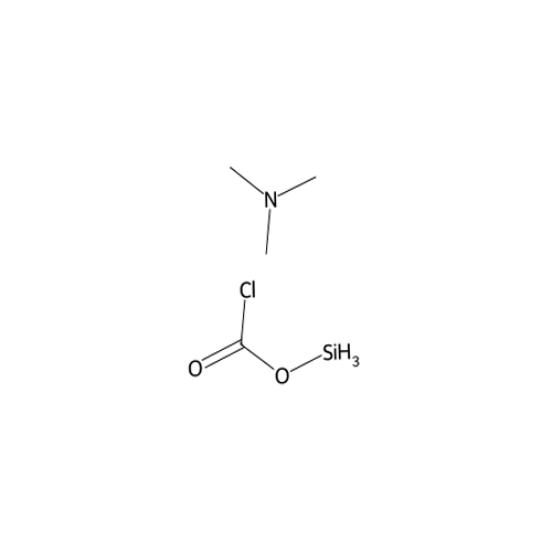 CN(C)C.O=C(Cl)O[SiH3]